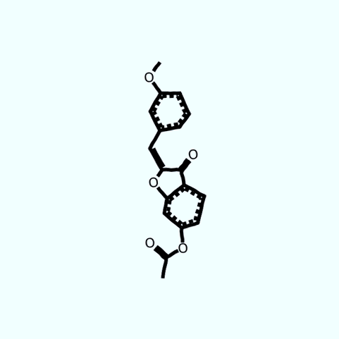 COc1cccc(C=C2Oc3cc(OC(C)=O)ccc3C2=O)c1